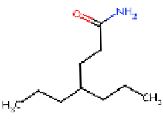 CCCC(CCC)CCC(N)=O